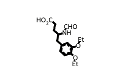 CCOc1ccc(CC(CCC(=O)O)NC=O)cc1OCC